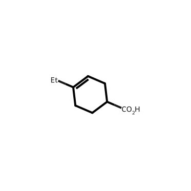 CCC1=CCC(C(=O)O)CC1